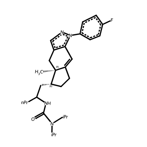 CCCC(C[C@H]1CCC2=Cc3c(cnn3-c3ccc(F)cc3)C[C@@]21C)NC(=O)N(C(C)C)C(C)C